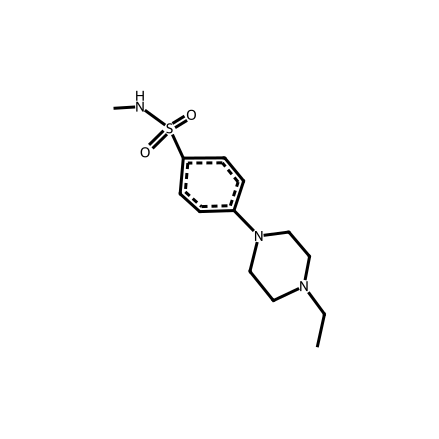 CCN1CCN(c2ccc(S(=O)(=O)NC)cc2)CC1